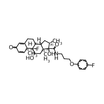 C[C@@H]1C[C@H]2[C@@H]3CCC4=CC(=O)C=C[C@]4(C)[C@@]3(F)[C@@H](O)C[C@]2(C)[C@@]1(O)C(=O)NCCCOc1ccc(F)cc1